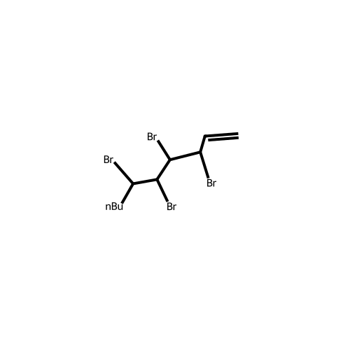 C=CC(Br)C(Br)C(Br)C(Br)CCCC